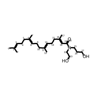 CC(C)=CCCC(C)=CCCC(C)=CCCC(C)=CC(=O)N(CCO)CCCO